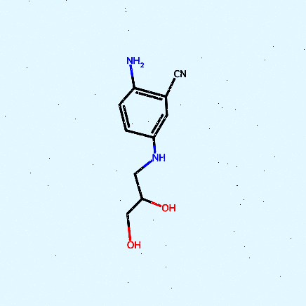 N#Cc1cc(NCC(O)CO)ccc1N